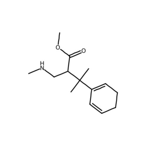 CNCC(C(=O)OC)C(C)(C)C1=CCCC=C1